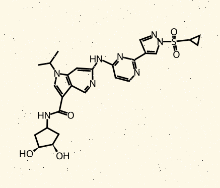 CC(C)n1cc(C(=O)NC2C[C@@H](O)[C@@H](O)C2)c2cnc(Nc3ccnc(-c4cnn(S(=O)(=O)C5CC5)c4)n3)cc21